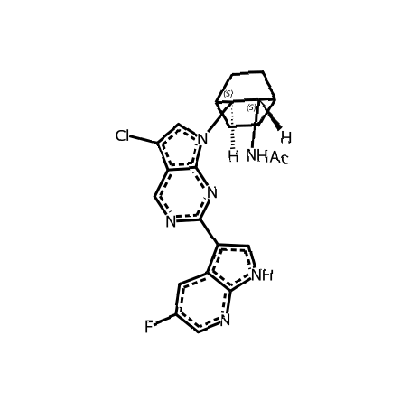 CC(=O)N[C@H]1C2CCC(CC2)[C@@H]1n1cc(Cl)c2cnc(-c3c[nH]c4ncc(F)cc34)nc21